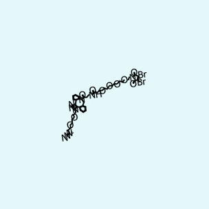 [N-]=[N+]=NCCOCCOCCn1nnc2c1-c1ccccc1CN(C(=O)CCNC(=O)CCOCCOCCOCCOCCN1C(=O)C(Br)=C(Br)C1=O)c1ccccc1-2